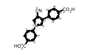 N#Cc1cn(-c2ccc(C(=O)O)cc2)cc1-c1ccc(C(=O)O)cc1